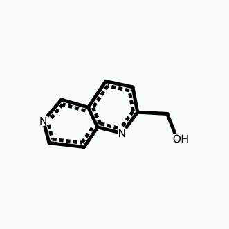 OCc1ccc2cnccc2n1